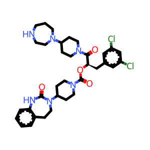 O=C(O[C@H](Cc1cc(Cl)cc(Cl)c1)C(=O)N1CCC(N2CCCNCC2)CC1)N1CCC(N2CCc3ccccc3NC2=O)CC1